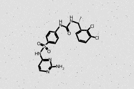 C[C@@H](NC(=O)Nc1ccc(S(=O)(=O)Nc2ccnc(N)n2)cc1)c1cccc(Cl)c1Cl